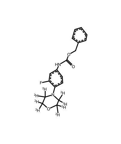 [2H]C1([2H])OC([2H])([2H])C([2H])([2H])N(c2ccc(NC(=O)OCc3ccccc3)cc2F)C1([2H])[2H]